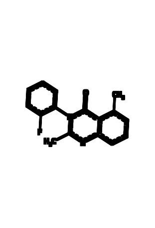 Cc1cccc2nc(C)n(-c3ccccc3F)c(=O)c12